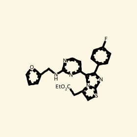 CCOC(=O)Cc1csc2nc(-c3ccc(F)cc3)c(-c3ccnc(NCc4ccco4)n3)n12